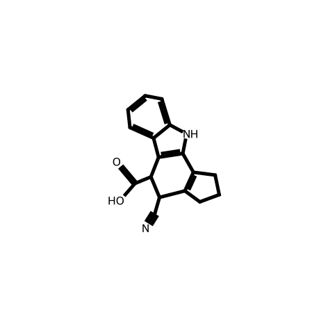 N#CC1C2=C(CCC2)c2[nH]c3ccccc3c2C1C(=O)O